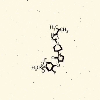 CC(C)c1nsc(N2CCC(N3CC[C@H](Oc4cc(F)c(S(C)(=O)=O)cc4F)C3=O)CC2)n1